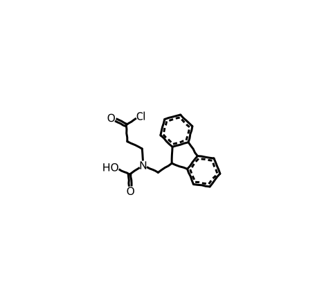 O=C(Cl)CCN(CC1c2ccccc2-c2ccccc21)C(=O)O